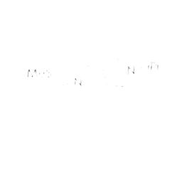 CSCN1CC2CN(C(C)C)CC2C1